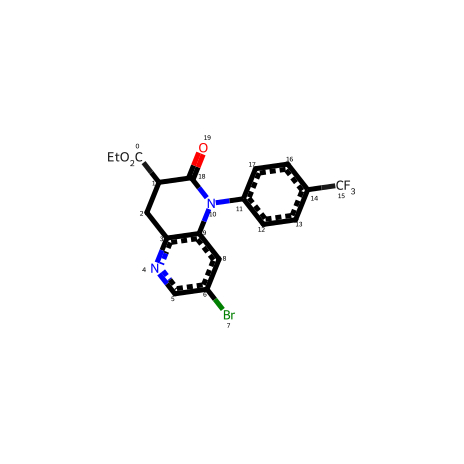 CCOC(=O)C1Cc2ncc(Br)cc2N(c2ccc(C(F)(F)F)cc2)C1=O